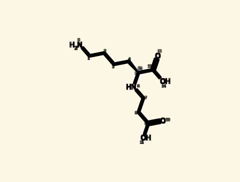 NCCCC[C@H](NCCC(=O)O)C(=O)O